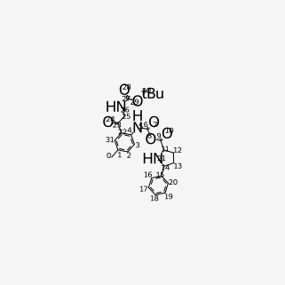 Cc1ccc(NC(=O)OC(=O)C2CCC(c3ccccc3)N2)c(C(=O)CNC(=O)OC(C)(C)C)c1